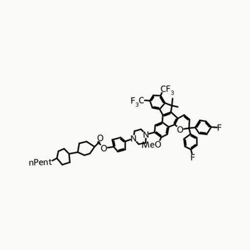 CCCCCC1CCC(C2CCC(C(=O)Oc3ccc(N4CCN(c5cc6c7c(c8c(c6cc5OC)OC(c5ccc(F)cc5)(c5ccc(F)cc5)C=C8)C(C)(C)c5c-7cc(C(F)(F)F)cc5C(F)(F)F)CC4)cc3)CC2)CC1